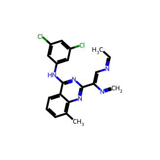 C=N/C(=C\N=C/C)c1nc(Nc2cc(Cl)cc(Cl)c2)c2cccc(C)c2n1